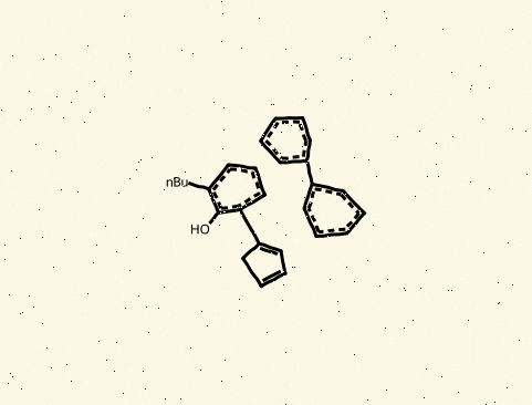 CCCCc1cccc(C2=CC=CC2)c1O.c1ccc(-c2ccccc2)cc1